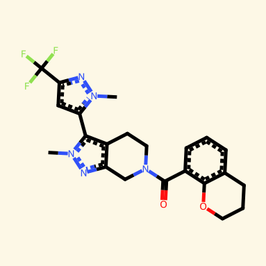 Cn1nc(C(F)(F)F)cc1-c1c2c(nn1C)CN(C(=O)c1cccc3c1OCCC3)CC2